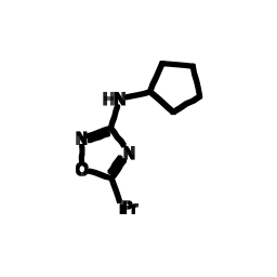 CC(C)c1nc(NC2CCCC2)no1